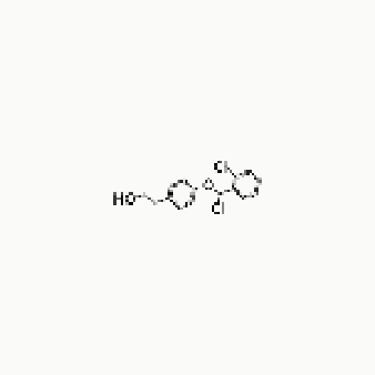 OCCc1ccc(OC(Cl)c2ccccc2Cl)cc1